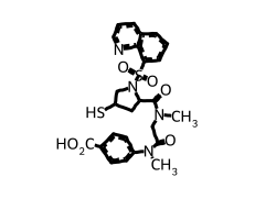 CN(CC(=O)N(C)c1ccc(C(=O)O)cc1)C(=O)C1CC(S)CN1S(=O)(=O)c1cccc2cccnc12